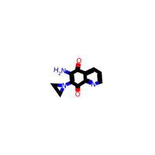 NC1=C(N2CC2)C(=O)c2ncccc2C1=O